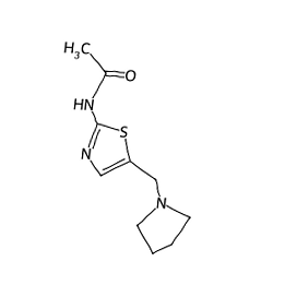 CC(=O)Nc1ncc(CN2CCCC2)s1